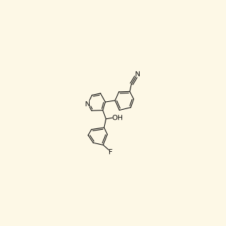 N#Cc1cccc(-c2ccncc2C(O)c2cccc(F)c2)c1